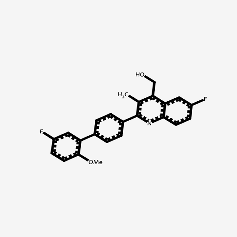 COc1ccc(F)cc1-c1ccc(-c2nc3ccc(F)cc3c(CO)c2C)cc1